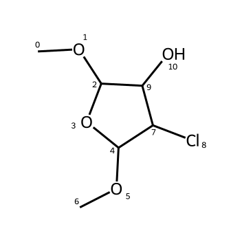 COC1OC(OC)C(Cl)C1O